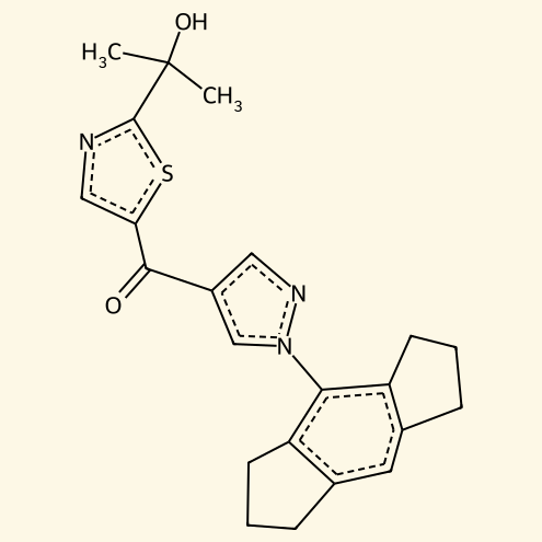 CC(C)(O)c1ncc(C(=O)c2cnn(-c3c4c(cc5c3CCC5)CCC4)c2)s1